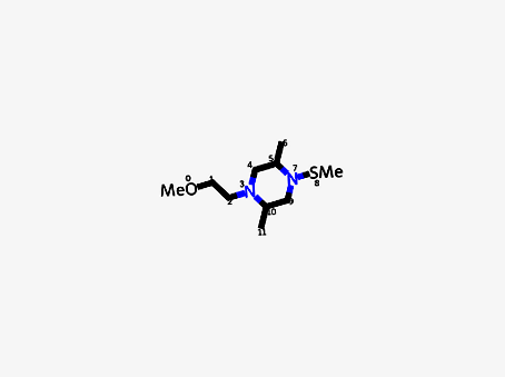 COCCN1CC(C)N(SC)CC1C